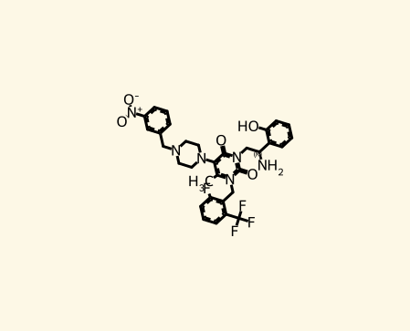 Cc1c(N2CCN(Cc3cccc([N+](=O)[O-])c3)CC2)c(=O)n(C[C@H](N)c2ccccc2O)c(=O)n1Cc1c(F)cccc1C(F)(F)F